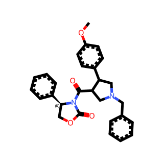 COc1ccc(C2CN(Cc3ccccc3)CC2C(=O)N2C(=O)OC[C@H]2c2ccccc2)cc1